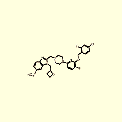 O=C(O)c1ccc2nc(CN3CCN(c4ncc(F)c(OCc5ccc(Cl)cc5F)n4)CC3)n(C[C@@H]3CCO3)c2c1